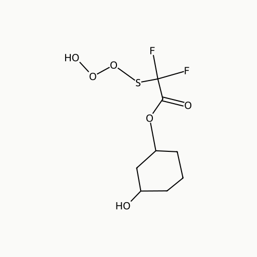 O=C(OC1CCCC(O)C1)C(F)(F)SOOO